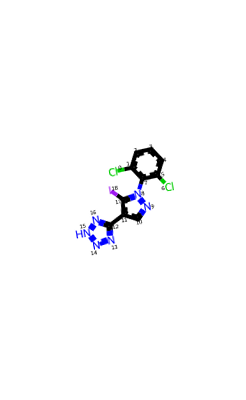 Clc1cccc(Cl)c1-n1ncc(-c2nn[nH]n2)c1I